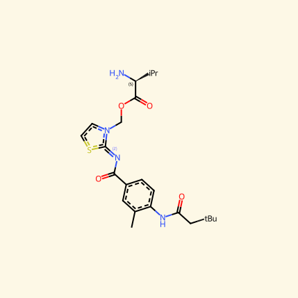 Cc1cc(C(=O)/N=c2\sccn2COC(=O)[C@@H](N)C(C)C)ccc1NC(=O)CC(C)(C)C